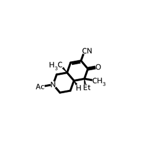 CC[C@]1(C)C(=O)C(C#N)=C[C@@]2(C)CN(C(C)=O)CC[C@H]21